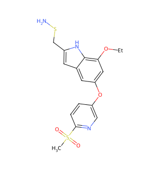 CCOc1cc(Oc2ccc(S(C)(=O)=O)nc2)cc2cc(CSN)[nH]c12